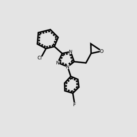 Fc1ccc(-n2nc(-c3ccccc3Cl)nc2CC2CO2)cc1